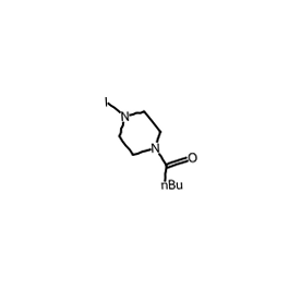 CCCCC(=O)N1CCN(I)CC1